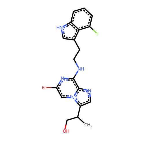 CC(CO)c1cnc2c(NCCc3c[nH]c4cccc(F)c34)nc(Br)cn12